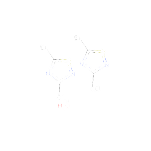 CCc1nc(C(Cl)(Cl)Cl)ns1.CCc1nc(C(Cl)(Cl)Cl)ns1.O